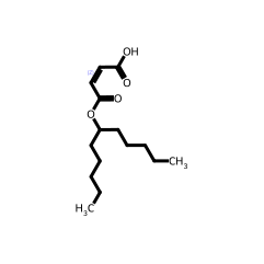 CCCCCC(CCCCC)OC(=O)/C=C\C(=O)O